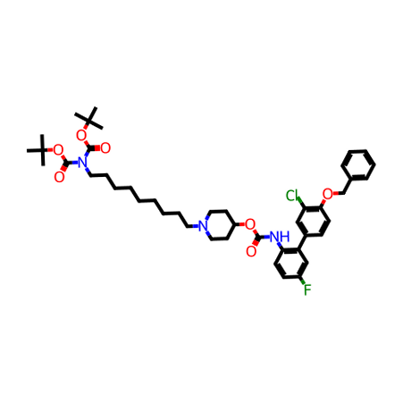 CC(C)(C)OC(=O)N(CCCCCCCCCN1CCC(OC(=O)Nc2ccc(F)cc2-c2ccc(OCc3ccccc3)c(Cl)c2)CC1)C(=O)OC(C)(C)C